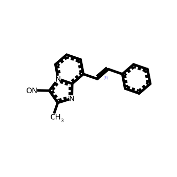 Cc1nc2c(/C=C/c3ccccc3)cccn2c1N=O